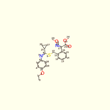 CCOc1ccc(N=C(SCc2ccccc2C(=NOC)C(=O)OC)C2CC2)cc1